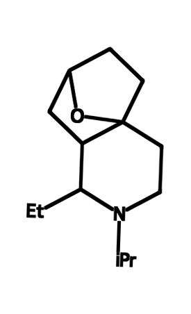 CCC1C2CC3CCC2(CCN1C(C)C)O3